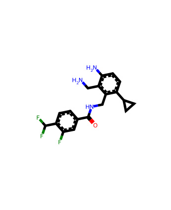 NCc1c(N)ccc(C2CC2)c1CNC(=O)c1ccc(C(F)F)c(F)c1